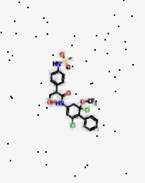 CS(=O)(=O)Nc1ccc(C(CO)C(=O)NC2=CC(Cl)=C(c3ccccc3)C(Cl)(OC(F)(F)F)C2)cc1